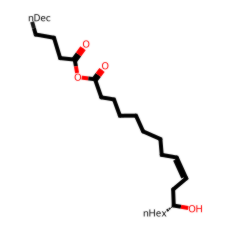 CCCCCCCCCCCCCC(=O)OC(=O)CCCCCCC/C=C\C[C@H](O)CCCCCC